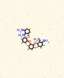 Nc1cccc(Oc2ccccc2Oc2ccccc2Oc2cccc(N)c2N)c1N